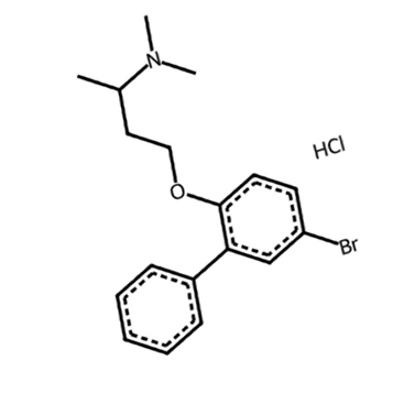 CC(CCOc1ccc(Br)cc1-c1ccccc1)N(C)C.Cl